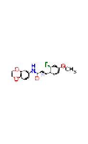 COc1ccc(/C=C/C(=O)Nc2ccc3c(c2)OCCO3)c(F)c1